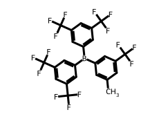 Cc1cc(B(c2cc(C(F)(F)F)cc(C(F)(F)F)c2)c2cc(C(F)(F)F)cc(C(F)(F)F)c2)cc(C(F)(F)F)c1